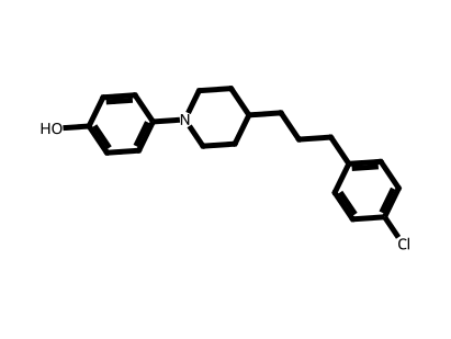 Oc1ccc(N2CCC(CCCc3ccc(Cl)cc3)CC2)cc1